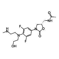 CNCCN(CCO)c1c(F)cc(N2C[C@H](CNC(C)=O)OC2=O)cc1F